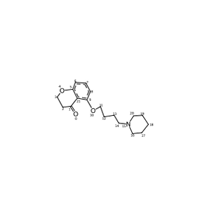 O=C1CCOc2cccc(OCCCCN3CCCCC3)c21